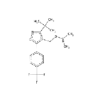 C[SiH](C)OCc1c(C(C)(C)C)noc1-c1ccc(C(F)(F)F)cc1